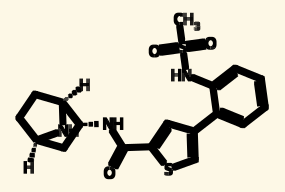 CS(=O)(=O)Nc1ccccc1-c1csc(C(=O)N[C@@H]2C[C@H]3CC[C@@H]2N3)c1